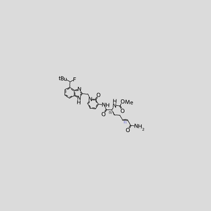 COC(=O)N[C@@H](CC/C=C/C(N)=O)C(=O)Nc1cccn(Cc2nc3c(C(F)C(C)(C)C)cccc3[nH]2)c1=O